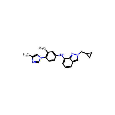 COc1cc(Nc2cccc3cn(CC4CC4)nc23)ccc1-n1cnc(C)c1